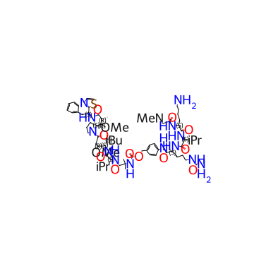 CC[C@H](C)[C@@H]([C@@H](CC(=O)N1CCC[C@H]1[C@H](OC)[C@@H](C)C(=O)N[C@@H](Cc1ccccc1)c1nccs1)OC)N(C)C(=O)[C@@H](NC(=O)C(C)(C)NC(=O)OCc1ccc(NC(=O)[C@H](CCCNC(N)=O)NC(=O)[C@@H](NC(=O)[C@H](CCCCN)NC(=O)CNC)C(C)C)cc1)C(C)C